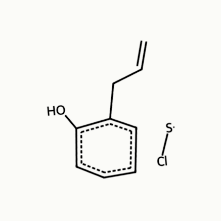 C=CCc1ccccc1O.[S]Cl